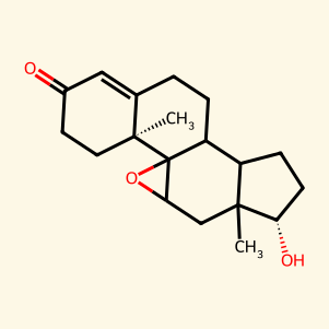 CC12CC3OC34C(CCC3=CC(=O)CC[C@@]34C)C1CC[C@@H]2O